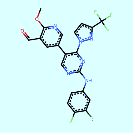 COc1ncc(-c2cnc(Nc3ccc(F)c(Cl)c3)nc2-n2ccc(C(F)(F)F)n2)cc1C=O